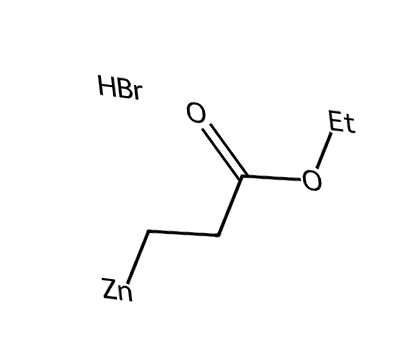 Br.CCOC(=O)C[CH2][Zn]